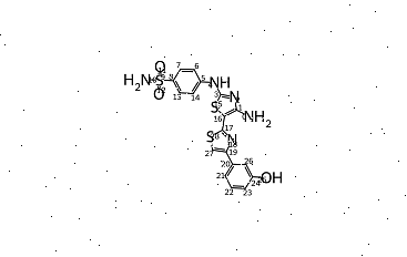 Nc1nc(Nc2ccc(S(N)(=O)=O)cc2)sc1-c1nc(-c2cccc(O)c2)cs1